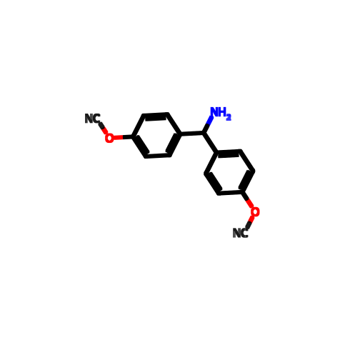 N#COc1ccc(C(N)c2ccc(OC#N)cc2)cc1